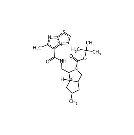 Cc1nc2sccn2c1C(=O)NCC1[C@H]2CC(C)CC2CN1C(=O)OC(C)(C)C